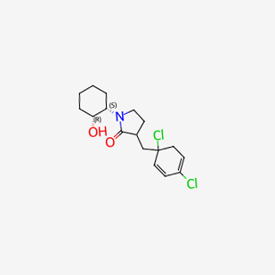 O=C1C(CC2(Cl)C=CC(Cl)=CC2)CCN1[C@H]1CCCC[C@H]1O